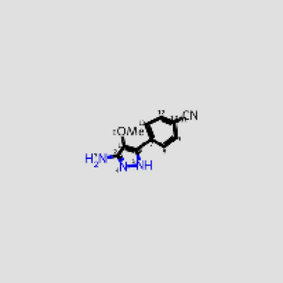 COc1c(N)n[nH]c1-c1ccc(C#N)cc1